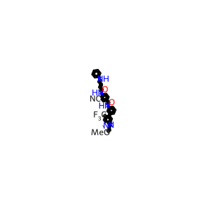 COCc1nc2cc(-c3cccc(NC(=O)c4ccc(NC(=O)C=CCNC5CCCCC5)c(C#N)c4)c3)c(C(F)(F)F)cc2n1C